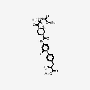 COC(=O)C(N)Cc1ccc(-n2ccc(NC(=O)N3CCN(C(=O)C(C)(C)NC(=O)OC(C)(C)C)CC3)nc2=O)cc1